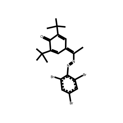 CC(N=Nc1c(Br)cc(Br)cc1Br)=C1C=C(C(C)(C)C)C(=O)C(C(C)(C)C)=C1